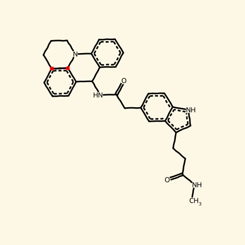 CNC(=O)CCc1c[nH]c2ccc(CC(=O)NC(c3ccccc3)c3ccccc3N3CCCCC3)cc12